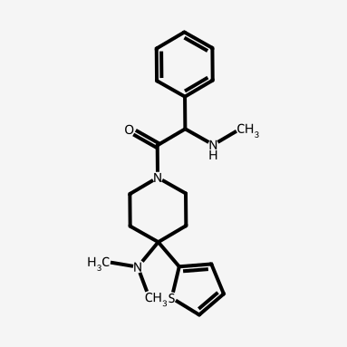 CNC(C(=O)N1CCC(c2cccs2)(N(C)C)CC1)c1ccccc1